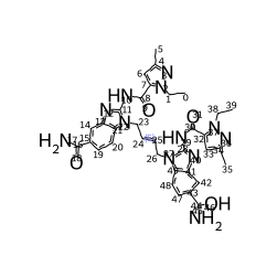 CCn1nc(C)cc1C(=O)Nc1nc2cc(C(N)=O)ccc2n1C/C=C/Cn1c(NC(=O)c2cc(C)nn2CC)nc2cc(C(N)O)ccc21